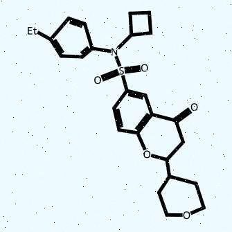 CCc1ccc(N(C2CCC2)S(=O)(=O)c2ccc3c(c2)C(=O)CC(C2CCOCC2)O3)cc1